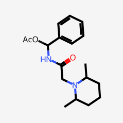 CC(=O)OC(NC(=O)CN1C(C)CCCC1C)c1ccccc1